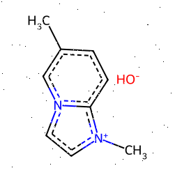 Cc1ccc2n(cc[n+]2C)c1.[OH-]